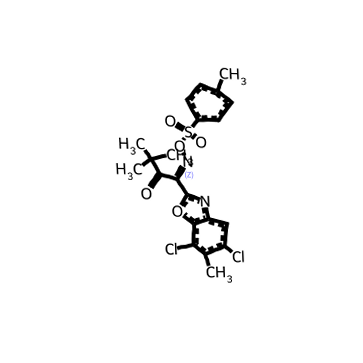 Cc1ccc(S(=O)(=O)O/N=C(\C(=O)C(C)(C)C)c2nc3cc(Cl)c(C)c(Cl)c3o2)cc1